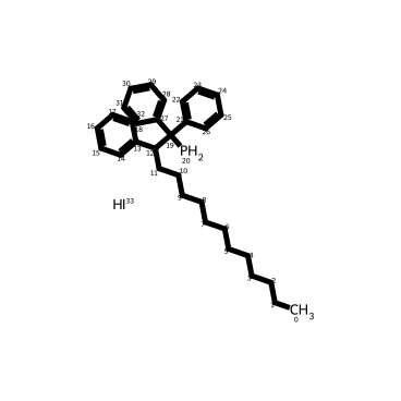 CCCCCCCCCCCCC(c1ccccc1)C(P)(c1ccccc1)c1ccccc1.I